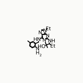 CCC(Nc1nc(NCc2cc(C)ccc2N)c2ncn(CC)c2n1)C(C)(C)O